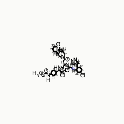 COC(=O)Nc1ccc(-c2[nH]c([C@H](CC(=O)N3C[C@H]4C[C@@H](C3)c3cccc(=O)n3C4)NC(=O)/C=C/c3cc(Cl)ccc3-n3cnnn3)nc2Cl)cc1